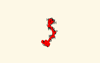 CN(CCCC(=O)NCCNC(=O)c1cccc(OCC(N=[N+]=[N-])OCCOCC(=O)NCC#Cc2cn(C3CC(OCN=[N+]=[N-])C(COP(=O)(O)OP(=O)(O)OP(=O)(O)O)O3)c(=O)cc2N)c1)C(=O)c1ccccc1-c1c(-c2nc3ccccc3s2)c(=O)oc2c3c4c(cc12)CCCN4CCC3